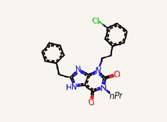 CCCn1c(=O)c2[nH]c(Cc3ccccc3)nc2n(CCc2cccc(Cl)c2)c1=O